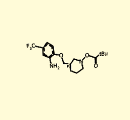 CC(C)(C)C(=O)ON1CCC[C@@H](COc2ccc(C(F)(F)F)cc2N)C1